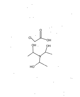 CC(O)N(C(C)O)C(C)O.O=C(O)CCl